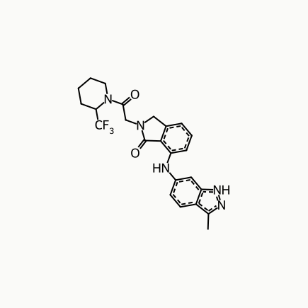 Cc1n[nH]c2cc(Nc3cccc4c3C(=O)N(CC(=O)N3CCCCC3C(F)(F)F)C4)ccc12